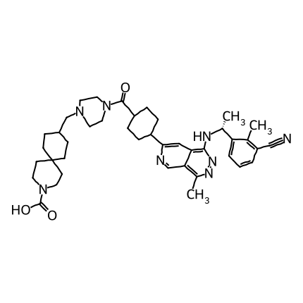 Cc1c(C#N)cccc1[C@@H](C)Nc1nnc(C)c2cnc(C3CCC(C(=O)N4CCN(CC5CCC6(CC5)CCN(C(=O)O)CC6)CC4)CC3)cc12